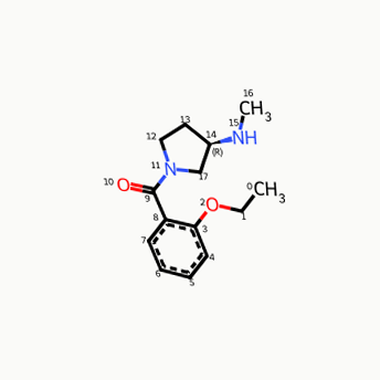 CCOc1ccccc1C(=O)N1CC[C@@H](NC)C1